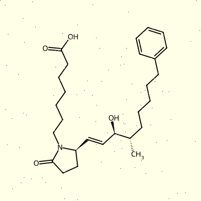 C[C@@H](CCCCCc1ccccc1)[C@H](O)C=C[C@H]1CCC(=O)N1CCCCCCC(=O)O